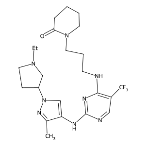 CCN1CCC(n2cc(Nc3ncc(C(F)(F)F)c(NCCCN4CCCCC4=O)n3)c(C)n2)C1